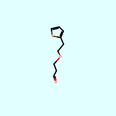 O=[C]CCOCCc1cccs1